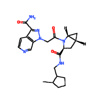 CC1CCCC1CNC(=O)[C@@H]1C[C@H]2C[C@H]2N1C(=O)Cn1nc(C(N)=O)c2ccncc21